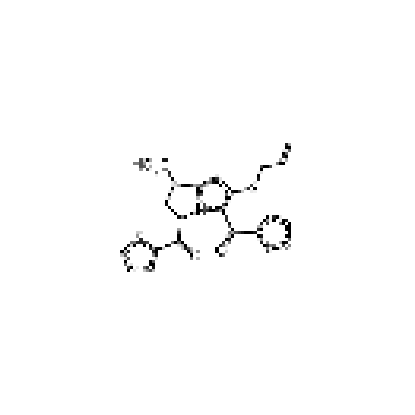 C=CCSc1cc2n(c1C(=O)c1ccsc1)C(C(=O)c1cccs1)CC2C(=O)O